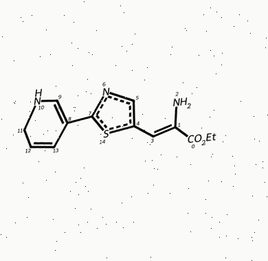 CCOC(=O)/C(N)=C/c1cnc(C2=CNCC=C2)s1